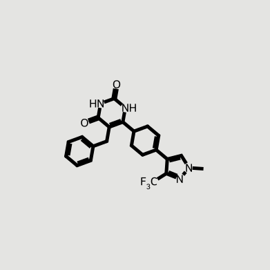 Cn1cc(C2=CCC(c3[nH]c(=O)[nH]c(=O)c3Cc3ccccc3)CC2)c(C(F)(F)F)n1